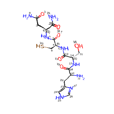 NC(=O)C[C@H](NC(=O)[C@H](CS)NC(=O)[C@H](CO)NC(=O)C(N)Cc1c[nH]cn1)C(N)=O